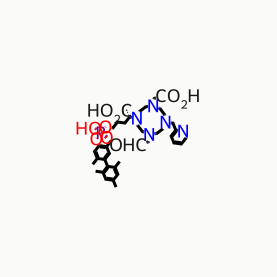 Cc1cc(C)c(-c2cc(C)c(OP(=O)(O)OCCC[C@H](C(=O)O)N3CCN(CC=O)CCN(Cc4ccccn4)CCN(CC(=O)O)CC3)cc2C)c(C)c1